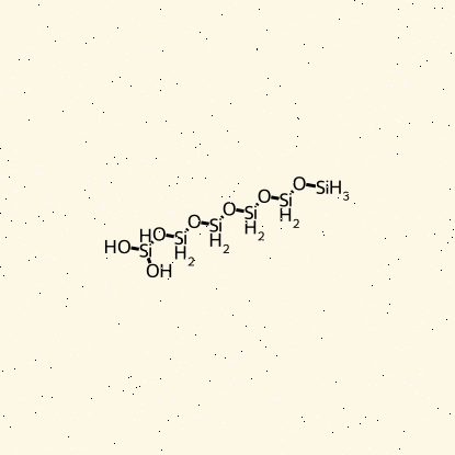 O[SiH](O)O[SiH2]O[SiH2]O[SiH2]O[SiH2]O[SiH3]